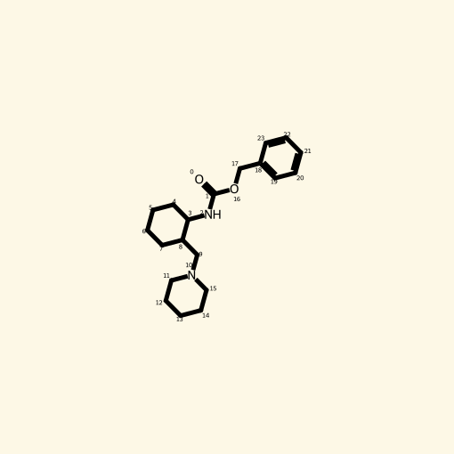 O=C(NC1CCCCC1CN1CCCCC1)OCc1ccccc1